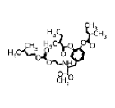 CCC(C)C(=O)Oc1ccc(C[C@H](NCCOC(=O)OCCC(C)C)C(=O)OC)cc1OC(=O)C(C)CC